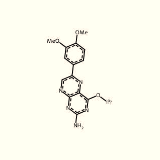 COc1ccc(-c2cnc3nc(N)nc(OC(C)C)c3n2)cc1OC